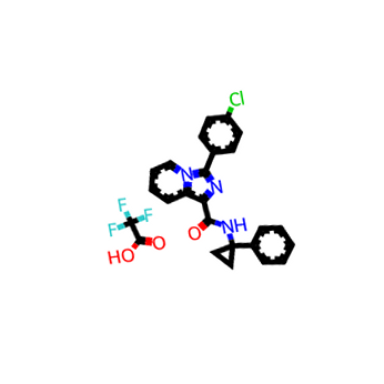 O=C(NC1(c2ccccc2)CC1)c1nc(-c2ccc(Cl)cc2)n2ccccc12.O=C(O)C(F)(F)F